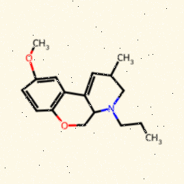 CCCN1CC(C)C=C2c3cc(OC)ccc3OCC21